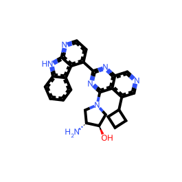 N[C@@H]1CN(c2nc(-c3ccnc4[nH]c5ccccc5c34)nc3cncc(C4CCC4)c23)C[C@H]1O